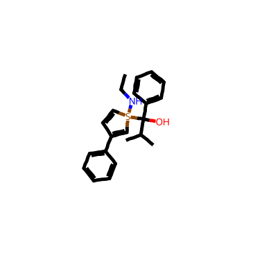 CCNS1(C(O)(c2ccccc2)C(C)C)C=CC(c2ccccc2)=C1